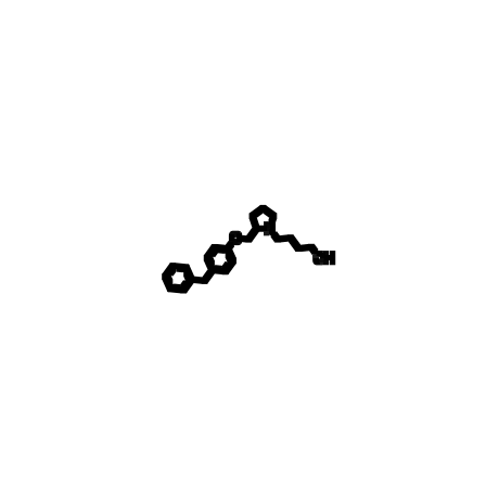 OCCCCN1CCCC1COc1ccc(Cc2ccccc2)cc1